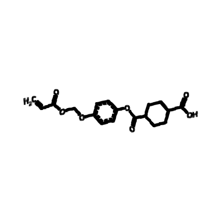 C=CC(=O)OCOc1ccc(OC(=O)C2CCC(C(=O)O)CC2)cc1